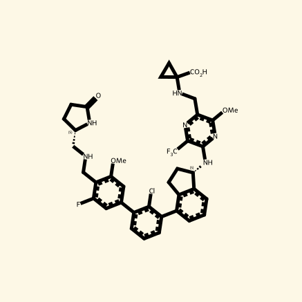 COc1cc(-c2cccc(-c3cccc4c3CC[C@@H]4Nc3nc(OC)c(CNC4(C(=O)O)CC4)nc3C(F)(F)F)c2Cl)cc(F)c1CNC[C@@H]1CCC(=O)N1